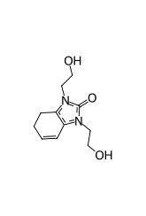 O=c1n(CCO)c2c(n1CCO)CCC=C2